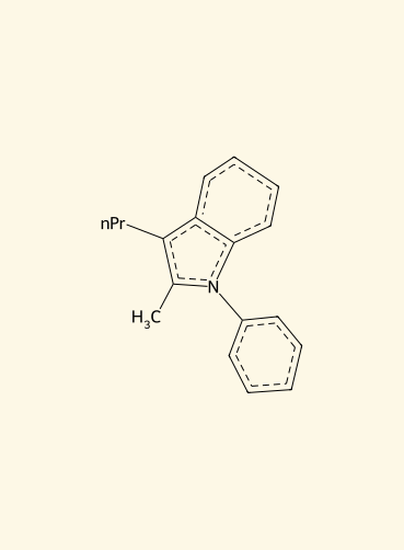 CCCc1c(C)n(-c2ccccc2)c2ccccc12